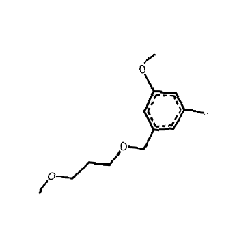 [CH2]c1cc(COCCCOC)cc(OC)c1